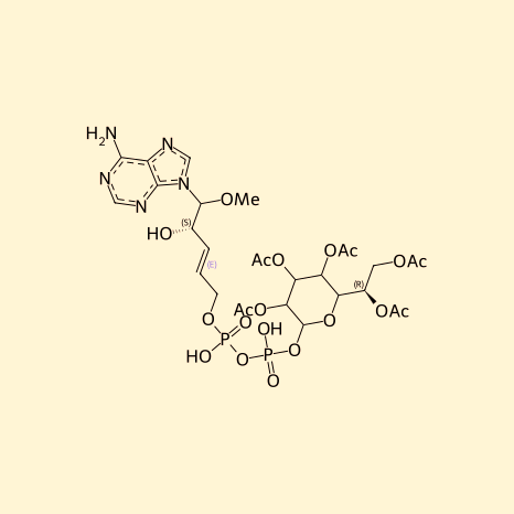 COC([C@@H](O)/C=C/COP(=O)(O)OP(=O)(O)OC1OC([C@@H](COC(C)=O)OC(C)=O)C(OC(C)=O)C(OC(C)=O)C1OC(C)=O)n1cnc2c(N)ncnc21